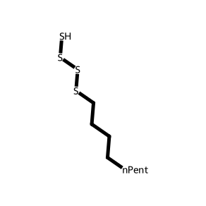 C[CH]CCCCCCCSSSS